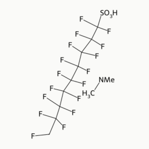 CNC.O=S(=O)(O)C(F)(F)C(F)(F)C(F)(F)C(F)(F)C(F)(F)C(F)(F)C(F)(F)C(F)(F)CF